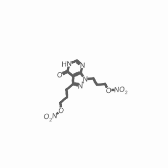 O=c1[nH]cnc2c1c(CCCO[N+](=O)[O-])nn2CCCO[N+](=O)[O-]